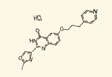 Cc1nc(-c2nc3ccc(OCCCc4ccncc4)cc3c(=O)[nH]2)co1.Cl